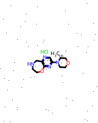 C[C@@H]1COCCN1c1cnc2c(n1)OCCNC2.Cl